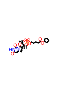 C#C[C@]1(C)[C@@H]2OP(=O)(OCCCCC(=O)OC3CCCC3)OC[C@H]2O[C@H]1n1ccc(=O)[nH]c1=O